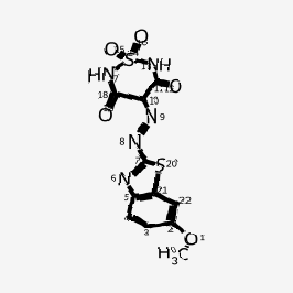 COc1ccc2nc(N=NC3C(=O)NS(=O)(=O)NC3=O)sc2c1